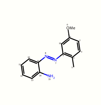 COc1ccc(C)c(N=Nc2ccccc2N)c1